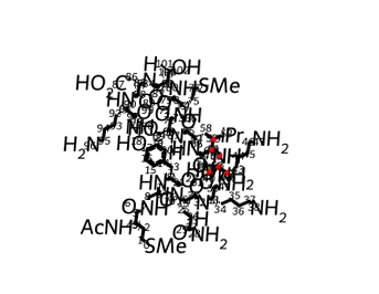 CSCC[C@H](NC(C)=O)C(=O)NCC(=O)N[C@@H](Cc1ccc(O)cc1)C(=O)N[C@@H](CCC(N)=O)C(=O)N[C@@H](CCCCN)C(=O)N[C@@H](CCCCN)C(=O)N[C@@H](CC(C)C)C(=O)N[C@@H](CCCNC(=N)N)C(=O)N[C@@H](CO)C(=O)N[C@@H](CCSC)C(=O)N[C@H](C(=O)N[C@@H](CC(=O)O)C(=O)N[C@@H](CCCCN)C(N)=O)[C@@H](C)O